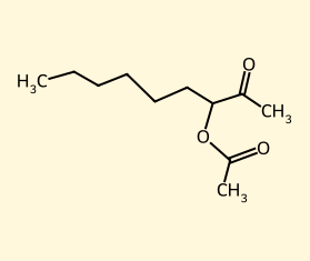 CCCCCCC(OC(C)=O)C(C)=O